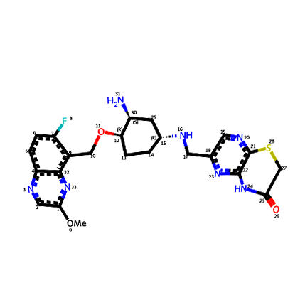 COc1cnc2ccc(F)c(CO[C@@H]3CC[C@@H](NCc4cnc5c(n4)NC(=O)CS5)C[C@@H]3N)c2n1